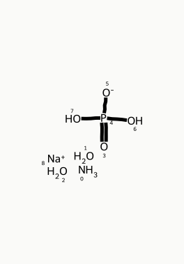 N.O.O.O=P([O-])(O)O.[Na+]